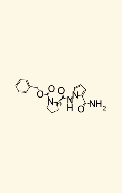 NC(=O)c1cccn1NC(=O)[C@H]1CCCN1C(=O)OCc1ccccc1